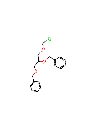 ClCOCC(COCc1ccccc1)OCc1ccccc1